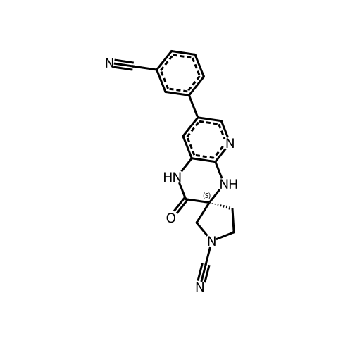 N#Cc1cccc(-c2cnc3c(c2)NC(=O)[C@@]2(CCN(C#N)C2)N3)c1